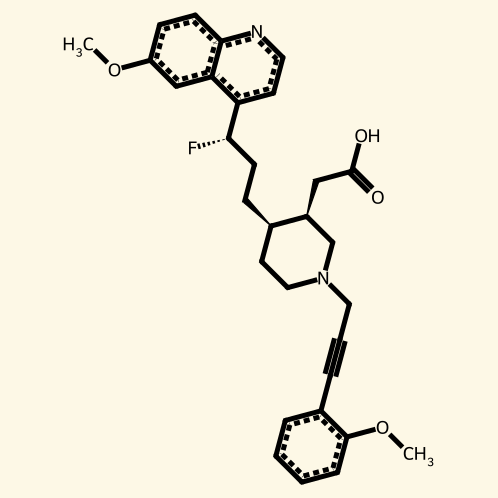 COc1ccc2nccc([C@@H](F)CC[C@@H]3CCN(CC#Cc4ccccc4OC)C[C@@H]3CC(=O)O)c2c1